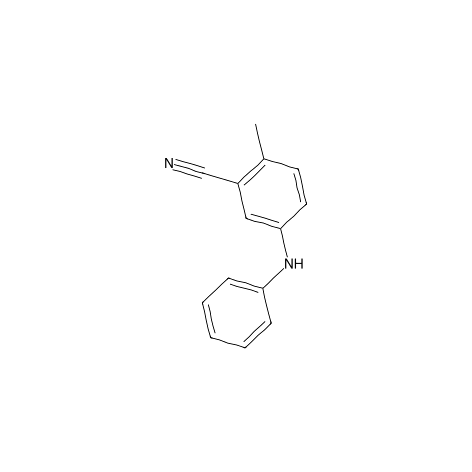 Cc1ccc(Nc2ccccc2)cc1C#N